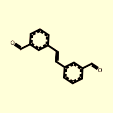 O=[C]c1cccc(C=Cc2cccc([C]=O)c2)c1